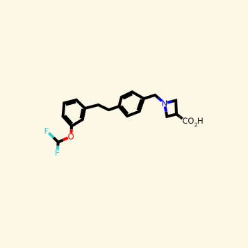 O=C(O)C1CN(Cc2ccc(CCc3cccc(OC(F)F)c3)cc2)C1